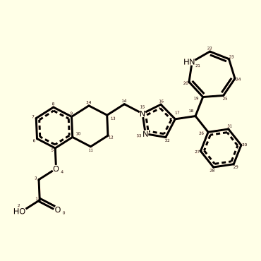 O=C(O)COc1cccc2c1CCC(Cn1cc(C(C3=CNC=CC=C3)c3ccccc3)cn1)C2